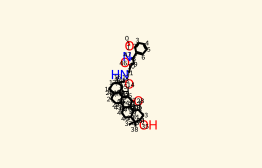 COc1ccccc1-c1cc(CNC(=O)[C@@]2(C)CC[C@]3(C)CC[C@]4(C)C(=CC(=O)[C@@H]5[C@@]6(C)CC[C@H](O)C(C)(C)C6CC[C@]54C)[C@H]3C2)on1